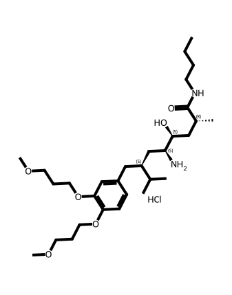 CCCCNC(=O)[C@H](C)C[C@H](O)[C@@H](N)C[C@H](Cc1ccc(OCCCOC)c(OCCCOC)c1)C(C)C.Cl